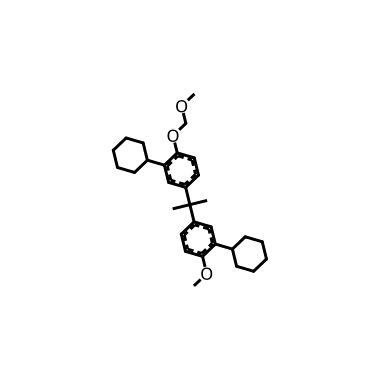 COCOc1ccc(C(C)(C)c2ccc(OC)c(C3CCCCC3)c2)cc1C1CCCCC1